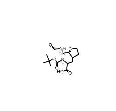 CC(C)(C)OC(=O)NC(CC1CCN=C1NNC=O)C(=O)O